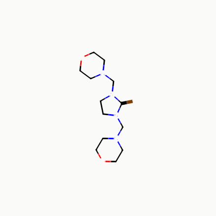 S=C1N(CN2CCOCC2)CCN1CN1CCOCC1